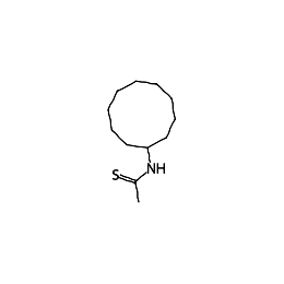 CC(=S)NC1CCCCCCCCC1